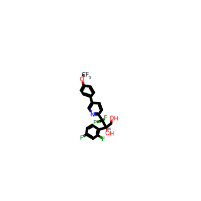 OC[C@](O)(c1ccc(F)cc1F)C(F)(F)c1ccc(-c2ccc(OC(F)(F)F)cc2)cn1